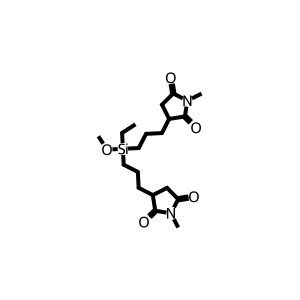 CC[Si](CCCC1CC(=O)N(C)C1=O)(CCCC1CC(=O)N(C)C1=O)OC